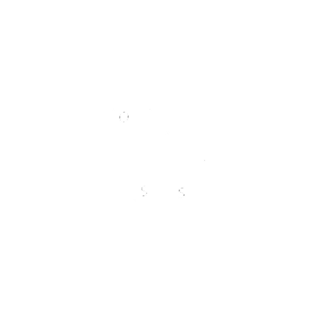 C1OC2=C1CSS2